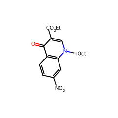 CCCCCCCCn1cc(C(=O)OCC)c(=O)c2ccc([N+](=O)[O-])cc21